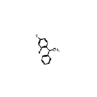 CC(c1ccccc1)c1ccc(F)cc1F